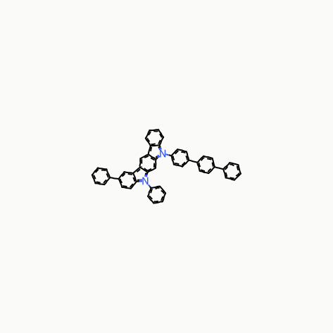 c1ccc(-c2ccc(-c3ccc(-n4c5ccccc5c5cc6c7cc(-c8ccccc8)ccc7n(-c7ccccc7)c6cc54)cc3)cc2)cc1